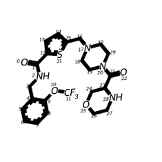 O=C(NCc1ccccc1OC(F)(F)F)c1ccc(CN2CCN(C(=O)C3COCCN3)CC2)s1